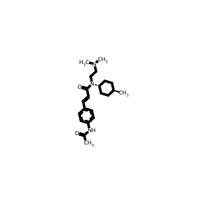 CC(=O)Nc1ccc(C=CC(=O)N(CCN(C)C)[C@H]2CC[C@H](C)CC2)cc1